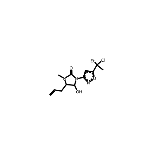 C=CCC1C(O)N(c2cc(C(C)(Cl)CC)on2)C(=O)N1C